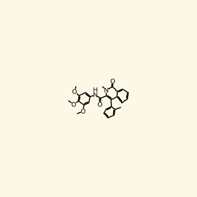 COc1cc(NC(=O)c2c(-c3ccccc3C)c3ccccc3c(=O)n2C)cc(OC)c1OC